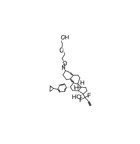 C#CC(F)(F)[C@]1(O)CC[C@H]2[C@@H]3CCC4=C/C(=N\OCCOCCO)CCC4=C3[C@@H](c3ccc(C4CC4)cc3)C[C@@]21C